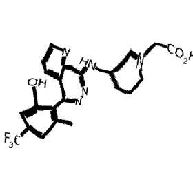 Cc1cc(C(F)(F)F)cc(O)c1-c1nnc(NC2CCCN(CC(=O)O)C2)c2ncccc12